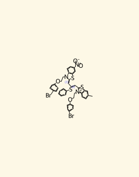 Cc1ccc2c(c1)sc(/C=C(/C=C1\Sc3cc([N+](=O)[O-])ccc3N1CCOc1ccc(Br)cc1)Sc1ccccc1)[n+]2CCOc1ccc(Br)cc1